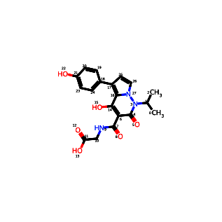 CC(C)n1c(=O)c(C(=O)NCC(=O)O)c(O)c2c(-c3ccc(O)cc3)ccn21